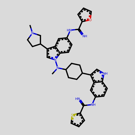 CN1CCC(c2cn(N(C)C3CCC(c4c[nH]c5ccc(NC(=N)c6cccs6)cc45)CC3)c3ccc(NC(=N)c4ccco4)cc23)C1